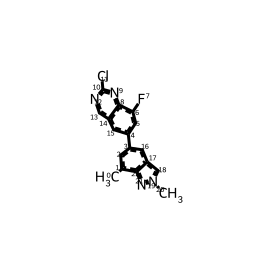 Cc1cc(-c2cc(F)c3nc(Cl)ncc3c2)cc2cn(C)nc12